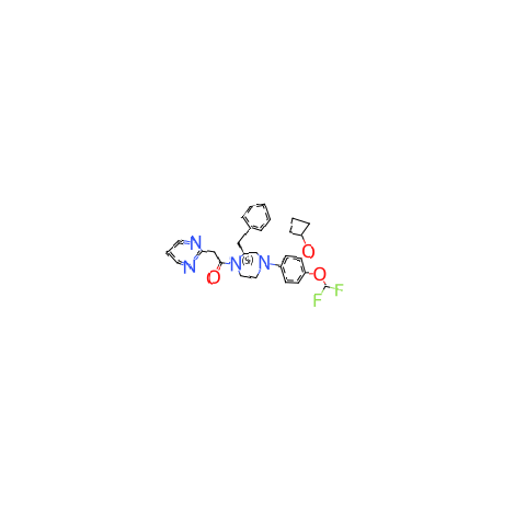 O=C(Cc1ncccn1)N1CCN(c2ccc(OC(F)F)c(OC3CCC3)c2)C[C@@H]1Cc1ccccc1